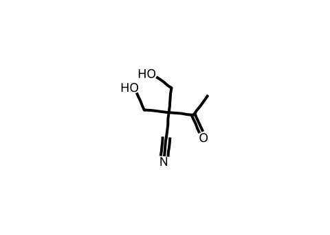 CC(=O)C(C#N)(CO)CO